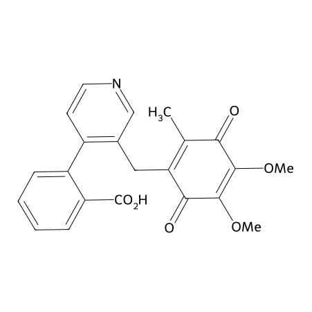 COC1=C(OC)C(=O)C(Cc2cnccc2-c2ccccc2C(=O)O)=C(C)C1=O